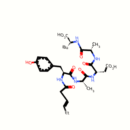 CC/C=C/CC(=O)N[C@@H](Cc1ccc(O)cc1)C(=O)N[C@@H](C)C(=O)N[C@@H](CC(=O)O)C(=O)N[C@@H](C)C(=O)N[C@H](C(=O)O)[C@@H](C)CC